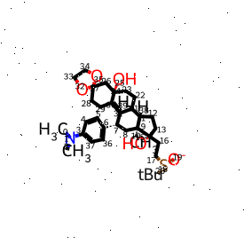 CN(C)c1ccc([C@H]2C[C@@]3(C)[C@@H](CC[C@@]3(O)CC[S+]([O-])C(C)(C)C)[C@@H]3CC[C@@]4(O)CC5(CCC4=C32)OCCO5)cc1